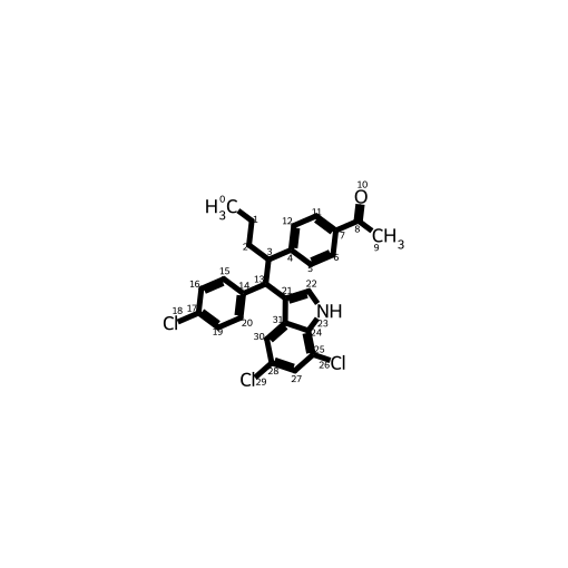 CCCC(c1ccc(C(C)=O)cc1)C(c1ccc(Cl)cc1)c1c[nH]c2c(Cl)cc(Cl)cc12